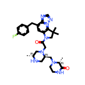 C[C@@H]1CN(CC(=O)N2CC(C)(C)c3c2cc(Cc2ccc(F)cc2)c2ncnn32)[C@@H](CN2CCNC(=O)[C@H]2C)CN1